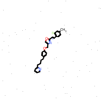 Cc1ccc(/C=C/c2nc(COc3ccc(CCCCc4ccccn4)cc3)co2)c(F)c1